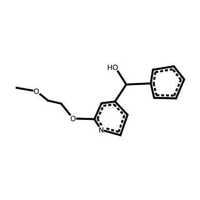 COCCOc1cc(C(O)c2ccccc2)ccn1